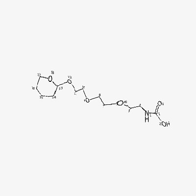 O=C(O)NCCOCCOCCOC1CCCCO1